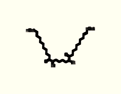 CCCCCCCCC=CCCCCCCCC(=O)N(CC)CCCCN(CC)C(=O)CCCCCCCC=CCCCCCCCC